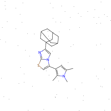 Cc1cc(-c2csc3nc(C45CC6CC(CC(C6)C4)C5)cn23)c(C)n1C